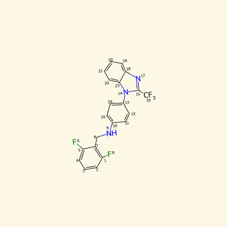 Fc1cccc(F)c1CNc1ccc(-n2c(C(F)(F)F)nc3ccccc32)cc1